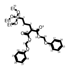 CCO[Si](CCCC(C(=O)OCOc1ccccc1)C(=O)OCOc1ccccc1)(OCC)OCC